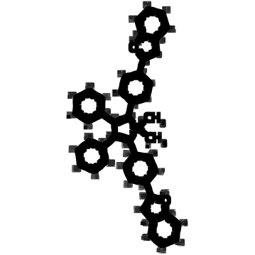 C[Si]1(C)C(c2ccc(-c3cc4ccccc4o3)cc2)=C(c2ccccc2)C(c2ccccc2)=C1c1ccc(-c2cc3ccccc3o2)cc1